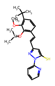 COc1c(C(C)(C)C)ccc(/C=C/c2cc(S)n(-c3ccccn3)n2)c1O[SiH](C)C